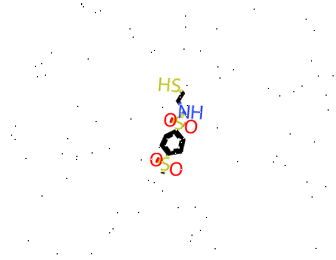 CS(=O)(=O)c1ccc(S(=O)(=O)NCCS)cc1